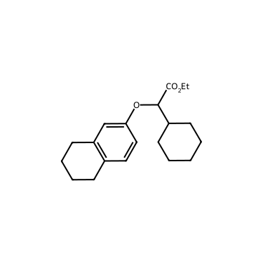 CCOC(=O)C(Oc1ccc2c(c1)CCCC2)C1CCCCC1